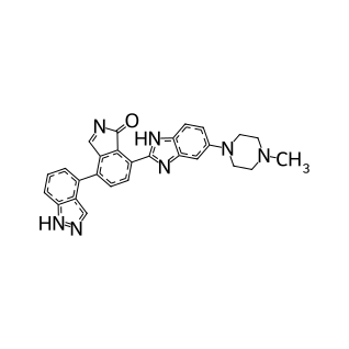 CN1CCN(c2ccc3[nH]c(-c4ccc(-c5cccc6[nH]ncc56)c5c4C(=O)N=C5)nc3c2)CC1